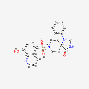 O=C1NCN(c2ccccc2)C12CCN(S(=O)(=O)c1ccc(O)c3ncccc13)CC2